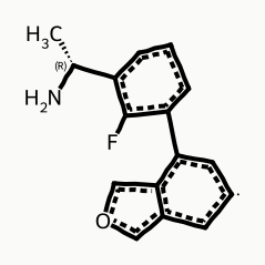 C[C@@H](N)c1cccc(-c2c[c]cc3cocc23)c1F